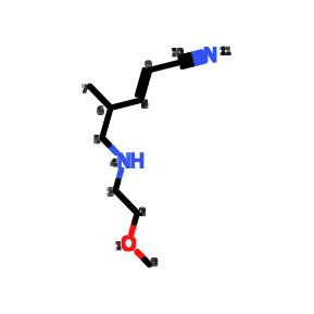 COCCNCC(C)C=CC#N